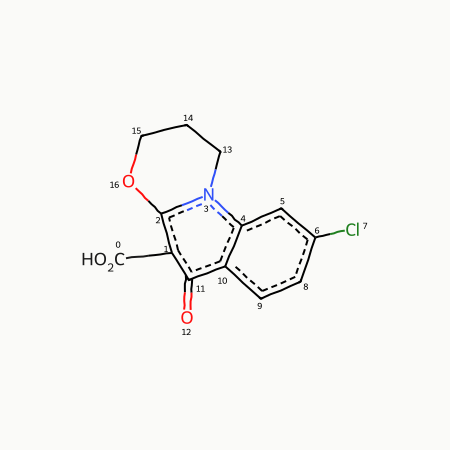 O=C(O)c1c2n(c3cc(Cl)ccc3c1=O)CCCO2